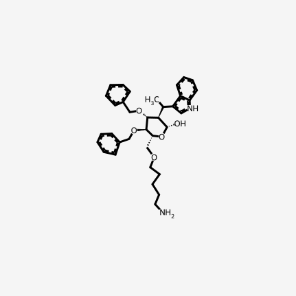 CC(c1c[nH]c2ccccc12)[C@@H]1[C@@H](OCc2ccccc2)[C@H](OCc2ccccc2)[C@@H](COCCCCCN)O[C@H]1O